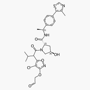 Cc1ncsc1-c1ccc([C@H](C)NC(=O)[C@@H]2C[C@@H](O)CN2C(=O)C(c2onc(OCC=O)c2Cl)C(C)C)cc1